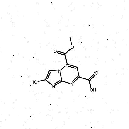 COC(=O)c1cc(C(=O)O)nc2nc(O)cn12